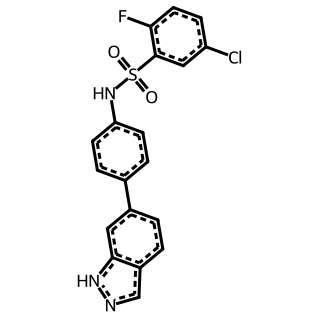 O=S(=O)(Nc1ccc(-c2ccc3cn[nH]c3c2)cc1)c1cc(Cl)ccc1F